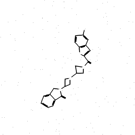 O=C(c1cc2cc(Br)ccc2s1)N1CC(N2CC(N3Cc4ccccc4C3=O)C2)C1